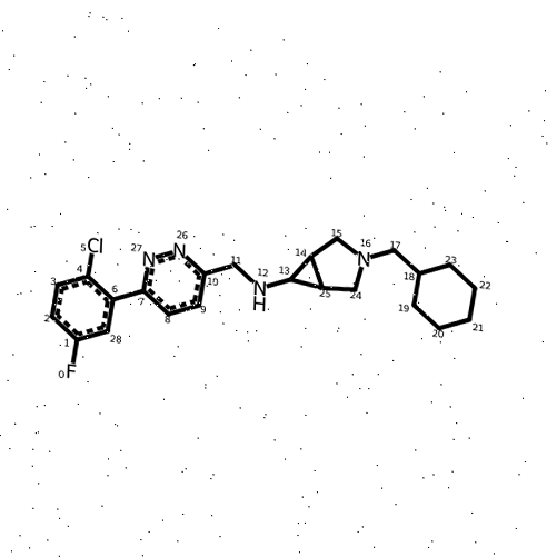 Fc1ccc(Cl)c(-c2ccc(CNC3C4CN(CC5CCCCC5)CC43)nn2)c1